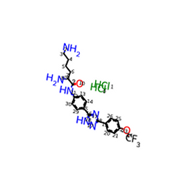 Cl.Cl.NCCCC[C@H](N)C(=O)Nc1ccc(-c2nc(-c3ccc(OC(F)(F)F)cc3)n[nH]2)cc1